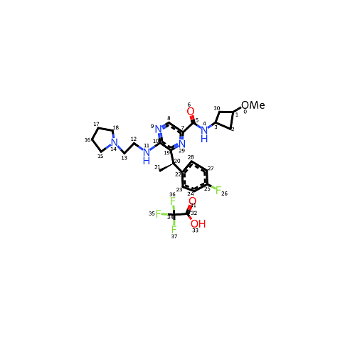 COC1CC(NC(=O)c2cnc(NCCN3CCCC3)c([C@H](C)c3ccc(F)cc3)n2)C1.O=C(O)C(F)(F)F